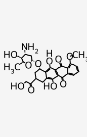 COc1cccc2c1C(=O)c1c(O)c3c(c(O)c1C2=O)CC(C(=O)CO)C[C@@H]3O[C@H]1C[C@H](N)[C@H](O)[C@H](C)O1